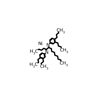 CCCCCCCCC(=Nc1ccc(CCCC)c(CCCC)c1)C(CCCC)=Nc1ccc(CCC)c(CCC)c1.[Ni]